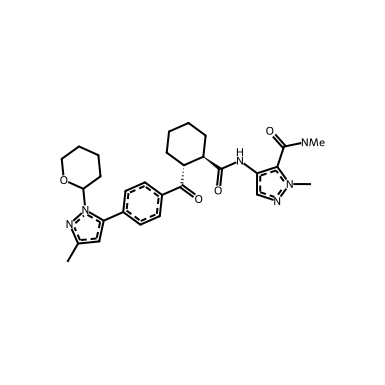 CNC(=O)c1c(NC(=O)[C@@H]2CCCC[C@H]2C(=O)c2ccc(-c3cc(C)nn3C3CCCCO3)cc2)cnn1C